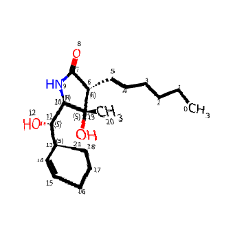 CCCCCC[C@H]1C(=O)N[C@H]([C@@H](O)[C@@H]2C=CCCC2)[C@@]1(C)O